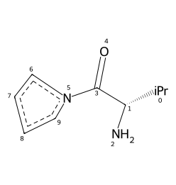 CC(C)[C@H](N)C(=O)n1cccc1